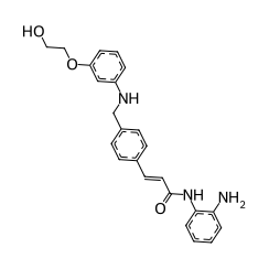 Nc1ccccc1NC(=O)C=Cc1ccc(CNc2cccc(OCCO)c2)cc1